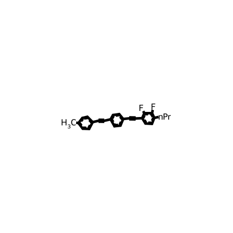 CCCc1ccc(C#Cc2ccc(C#Cc3ccc(C)cc3)cc2)c(F)c1F